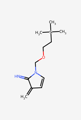 C=C1C=CN(COCC[Si](C)(C)C)C1=N